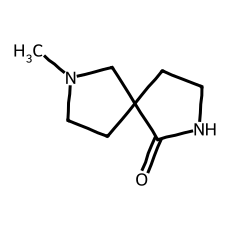 CN1CCC2(CCNC2=O)C1